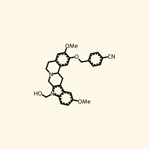 COc1ccc2c(c1)c1c(n2CO)CN2CCc3cc(OC)c(OCc4ccc(C#N)cc4)cc3C2C1